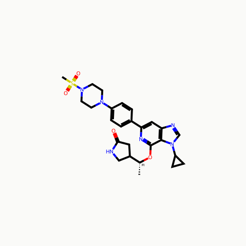 C[C@@H](Oc1nc(-c2ccc(N3CCN(S(C)(=O)=O)CC3)cc2)cc2ncn(C3CC3)c12)C1CNC(=O)C1